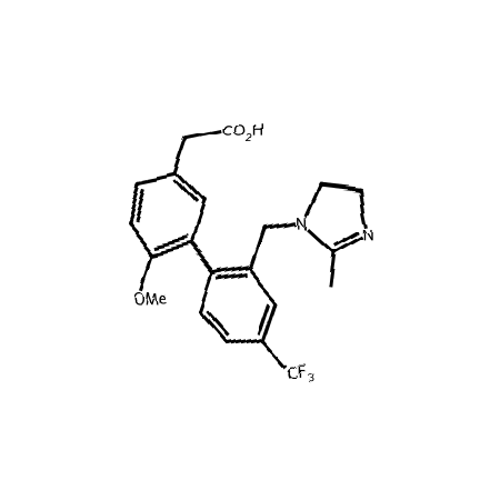 COc1ccc(CC(=O)O)cc1-c1ccc(C(F)(F)F)cc1CN1CCN=C1C